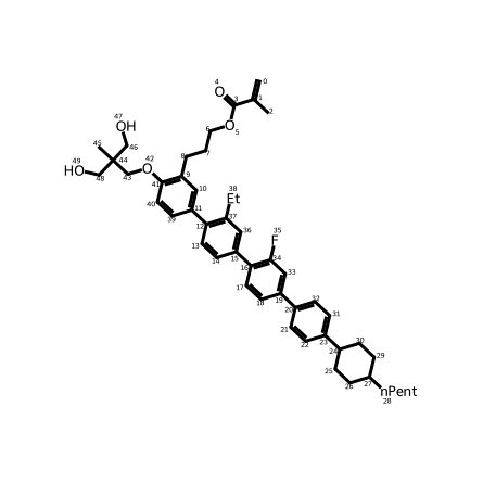 C=C(C)C(=O)OCCCc1cc(-c2ccc(-c3ccc(-c4ccc(C5CCC(CCCCC)CC5)cc4)cc3F)cc2CC)ccc1OCC(C)(CO)CO